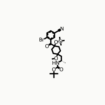 COC1(C[C@H](C)NC(=O)OC(C)(C)C)CCC(O[Si](C)(C)C)(C(=O)c2cc(C#N)ccc2Br)CC1